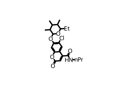 CCCNC(=O)c1cc(=O)oc2cc(OC3OC(CC)C(C)C(C)C3C)c(Cl)cc12